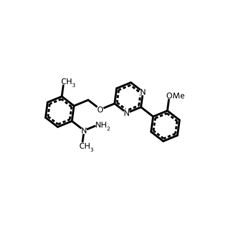 COc1ccccc1-c1nccc(OCc2c(C)cccc2N(C)N)n1